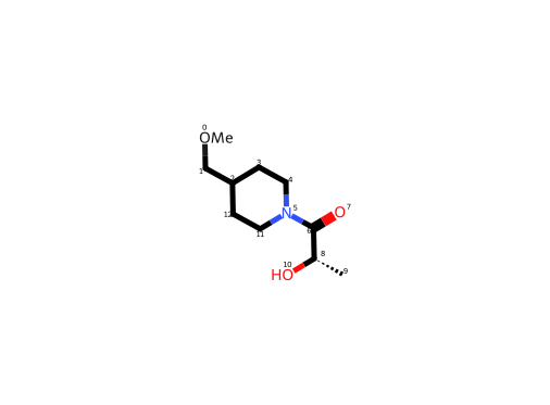 COCC1CCN(C(=O)[C@H](C)O)CC1